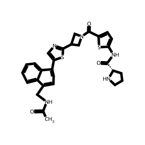 CC(=O)NCc1ccc(-c2cnc(C3CN(C(=O)c4ccc(NC(=O)[C@@H]5CCCN5)s4)C3)s2)c2ccccc12